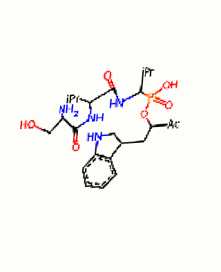 CC(=O)C(CC1CNc2ccccc21)OP(=O)(O)C(NC(=O)C(NC(=O)C(N)CO)C(C)C)C(C)C